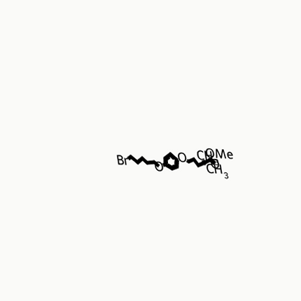 COC(=O)C(C)(C)CCCOc1ccc(OCCCCCBr)cc1